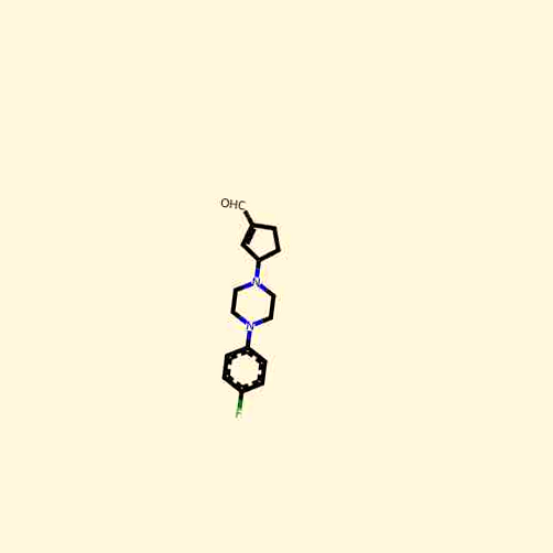 O=CC1=CC(N2CCN(c3ccc(F)cc3)CC2)CC1